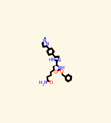 Cn1ccc(-c2ccc(-c3cnc([C@H](CCCCCC(N)=O)NC(=O)OCc4ccccc4)[nH]3)cc2)n1